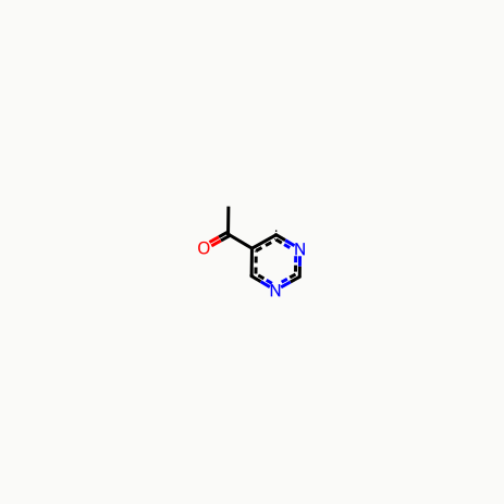 CC(=O)c1[c]ncnc1